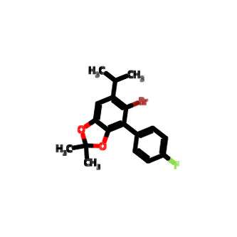 CC(C)c1cc2c(c(-c3ccc(F)cc3)c1Br)OC(C)(C)O2